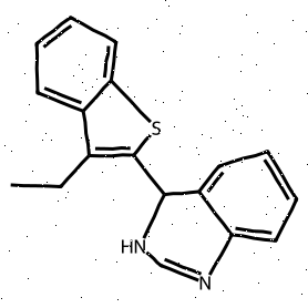 CCc1c(C2NC=Nc3ccccc32)sc2ccccc12